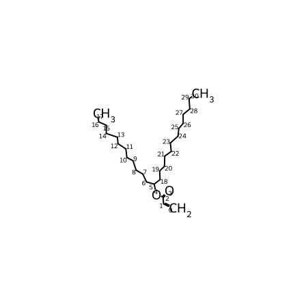 C=CC(=O)OC(CCCCCCCCCCCC)CCCCCCCCCCCCC